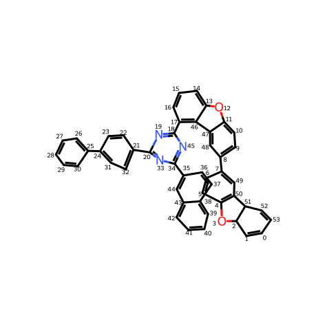 C1=CC2Oc3ccc(-c4ccc5oc6cccc(-c7nc(-c8ccc(-c9ccccc9)cc8)nc(-c8ccc9ccccc9c8)n7)c6c5c4)cc3C2C=C1